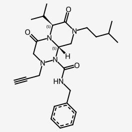 C#CCN1CC(=O)N2[C@@H](C(C)C)C(=O)N(CCC(C)C)C[C@@H]2N1C(=O)NCc1ccccc1